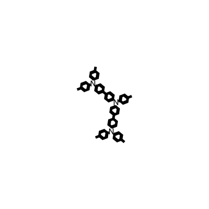 Cc1ccc(N(C2=CCC(c3ccc(N(c4ccc(C)cc4)c4ccc(-c5ccc(N(c6ccc(C)cc6)c6ccc(C)cc6)cc5)cc4)cc3)C=C2)c2ccc(C)cc2)cc1